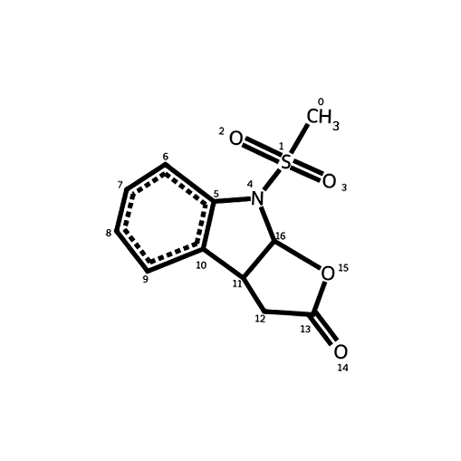 CS(=O)(=O)N1c2ccccc2C2CC(=O)OC21